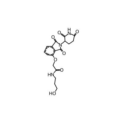 O=C(COc1cccc2c1C(=O)N(C1CCC(=O)NC1=O)C2=O)NCCCO